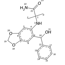 CC(C)(Nc1cc2c(cc1C(O)c1ccccc1)OCO2)C(N)=O